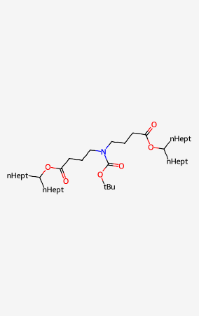 CCCCCCCC(CCCCCCC)OC(=O)CCCN(CCCC(=O)OC(CCCCCCC)CCCCCCC)C(=O)OC(C)(C)C